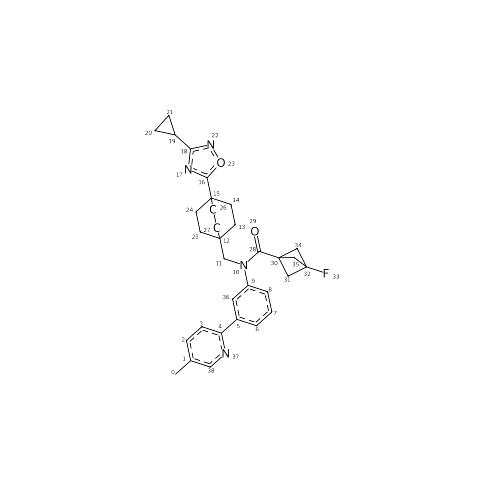 Cc1ccc(-c2cccc(N(CC34CCC(c5nc(C6CC6)no5)(CC3)CC4)C(=O)C34CC(F)(C3)C4)c2)nc1